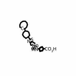 O=C(O)c1ccc(NS(=O)(=O)N2Cc3nc(C4CCCCC(C5CCCCCCCCC5)CCC4)sc3C2)cc1